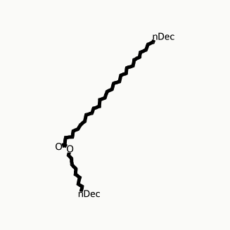 CCCCCCCCCCCCCCCCCCCCCCCCCCCCCCCCCCCCC(=O)OCCCCCCCCCCCCCCCCCC